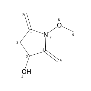 C=C1CC(O)C(=C)N1OC